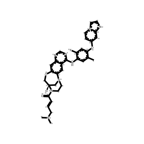 Cc1cc(Nc2ncnc3cc4c(cc23)N2CCN(C(=O)/C=C/CN(C)C)[C@H](CO4)C2)c(F)cc1Oc1ccn2ccnc2c1